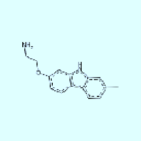 Cc1ccc2c(c1)[nH]c1cc(OCCN)ccc12